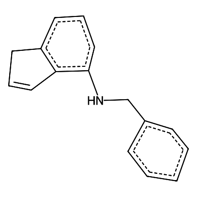 C1=Cc2c(cccc2NCc2ccccc2)C1